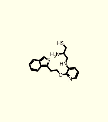 NC(CS)CNc1cccnc1OCCc1scc2ccccc12